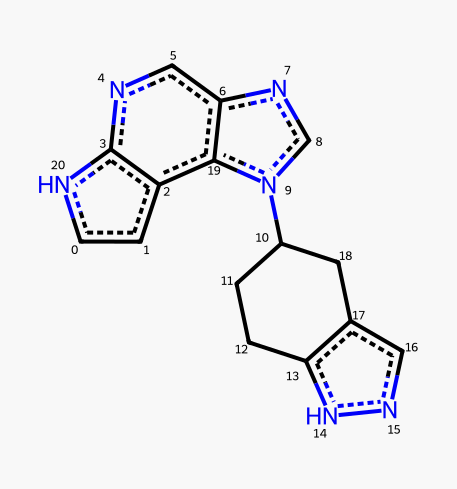 c1cc2c(ncc3ncn(C4CCc5[nH]ncc5C4)c32)[nH]1